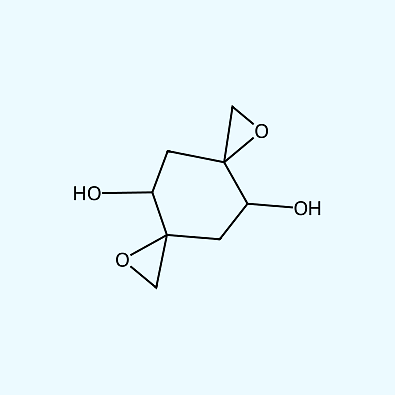 OC1CC2(CO2)C(O)CC12CO2